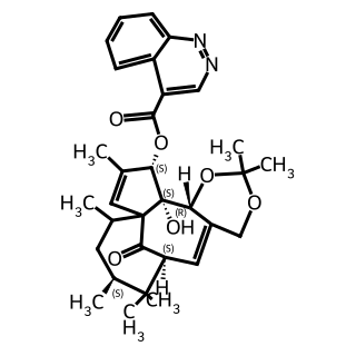 CC1=CC23C(=O)[C@@H](C=C4COC(C)(C)O[C@H]4[C@]2(O)[C@H]1OC(=O)c1cnnc2ccccc12)C(C)(C)[C@@H](C)CC3C